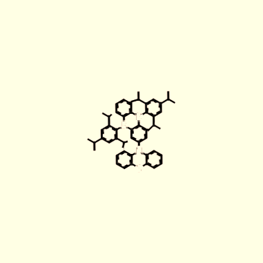 CC(C)c1cc(C(C)C)c(B2c3ccccc3B(c3c(C(C)C)cc(C(C)C)cc3C(C)C)c3cc(N4c5ccccc5Sc5ccccc54)ccc32)c(C(C)C)c1